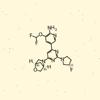 Nc1ncc(-c2cc(N3C[C@H]4C[C@@H]3CO4)nc(N3CC[C@H](F)C3)n2)cc1OC(F)F